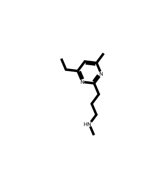 CCc1cc(C)nc(CCCNC)n1